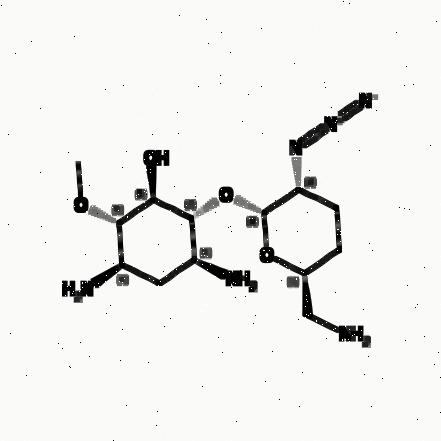 CO[C@@H]1[C@@H](O)[C@H](O[C@H]2O[C@H](CN)CC[C@H]2N=[N+]=[N-])[C@@H](N)C[C@H]1N